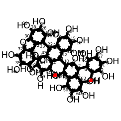 Oc1c(O)c(O)c(-c2c(O)c(-c3c4c(O)c(O)c(O)c(O)c4c(-c4c(O)c(O)c(O)c5oc6c(O)c(O)c(O)c(O)c6c45)c4c(O)c(O)c(O)c(O)c34)c(O)c3c(O)c(O)c(O)c(O)c23)c(O)c1O